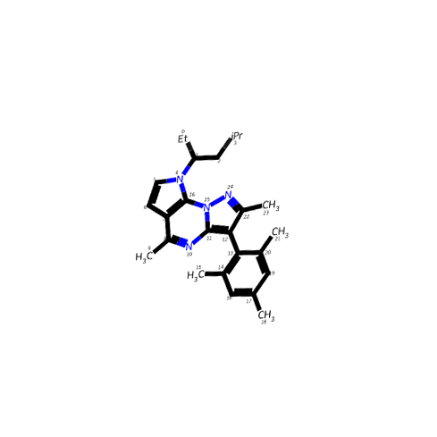 CCC(CC(C)C)n1ccc2c(C)nc3c(-c4c(C)cc(C)cc4C)c(C)nn3c21